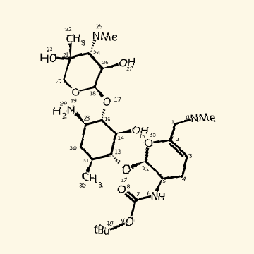 CNCC1=CC[C@@H](NC(=O)OC(C)(C)C)[C@@H](O[C@H]2[C@H](O)[C@@H](O[C@H]3OC[C@](C)(O)[C@H](NC)[C@H]3O)[C@H](N)C[C@@H]2C)O1